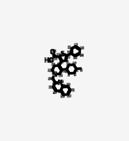 CC1CCC(C2=C(c3cc(-c4ccccc4)sc3C(=O)O)CCN(Cc3ccc4ccccc4n3)C2)CC1